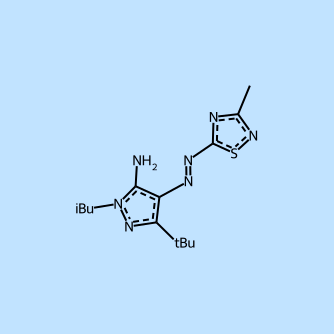 CCC(C)n1nc(C(C)(C)C)c(N=Nc2nc(C)ns2)c1N